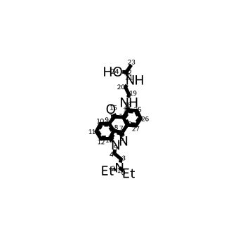 CCN(CC)CCn1nc2c3c(cccc31)C(=O)c1c(NCCNC(C)O)cccc1-2